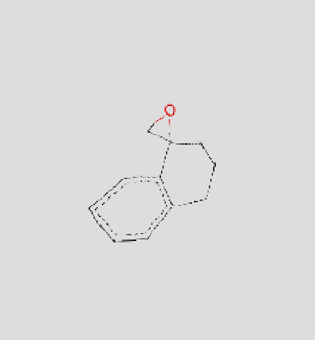 c1ccc2c(c1)CCCC21CO1